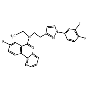 CCN(CCc1ccn(-c2ccc(F)c(F)c2)n1)C(=O)c1cc(F)ccc1-c1ncccn1